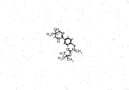 CN(Cc1ccc(C2=NCC(C)(C)CN2)cc1)C(=O)OC(C)(C)C